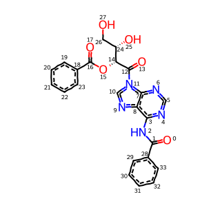 O=C(Nc1ncnc2c1ncn2C(=O)[C@H](OC(=O)c1ccccc1)[C@@H](O)CO)c1ccccc1